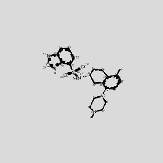 Cc1ccc(N2CCN(C)CC2)c2c1CC[C@@H](NS(=O)(=O)c1cccc3nonc13)C2